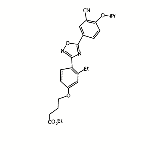 CCOC(=O)CCCOc1ccc(-c2noc(-c3ccc(OC(C)C)c(C#N)c3)n2)c(CC)c1